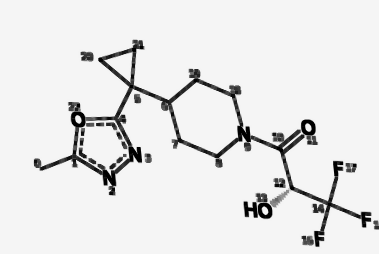 Cc1nnc(C2(C3CCN(C(=O)[C@@H](O)C(F)(F)F)CC3)CC2)o1